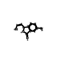 CC/C=C\C1OC(=O)c2cc(Br)ccc21